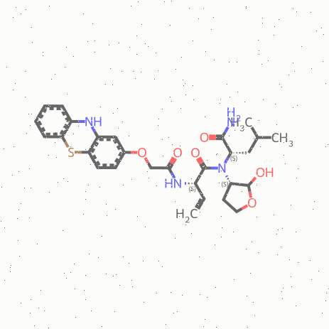 C=C[C@H](NC(=O)COc1ccc2c(c1)Nc1ccccc1S2)C(=O)N([C@@H](CC(C)C)C(N)=O)[C@H]1CCOC1O